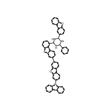 c1ccc(C2NC(c3ccc4oc5ccccc5c4c3)NC(c3cccc4sc5cc(-c6ccc7c(c6)oc6cc(-n8c9ccccc9c9ccccc98)ccc67)ccc5c34)N2)cc1